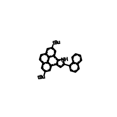 CC(C)(C)c1cc2ccc3cc(C(C)(C)C)cc4c5[nH]c(-c6cccc7ccccc67)cc5c(c1)c2c34